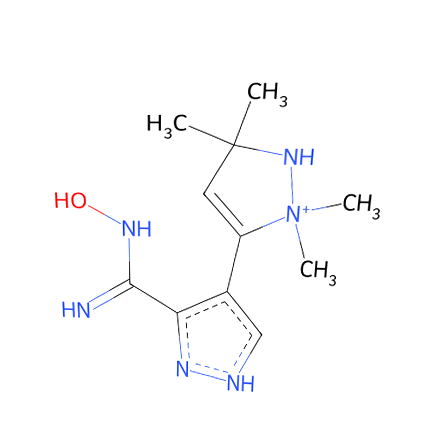 CC1(C)C=C(c2c[nH]nc2C(=N)NO)[N+](C)(C)N1